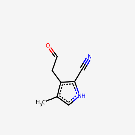 Cc1c[nH]c(C#N)c1CC=O